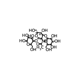 CC(=O)N[C@H]1[C@H](O[C@@H]2[C@H](O)[C@@H](O)[C@H](O)O[C@@H]2CO)O[C@H](CO)[C@H](O)[C@@H]1O[C@@H]1O[C@H](CO)[C@H](O)[C@H](O)[C@H]1O